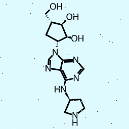 OC[C@H]1C[C@@H](n2cnc3c(N[C@H]4CCNC4)ncnc32)[C@H](O)[C@@H]1O